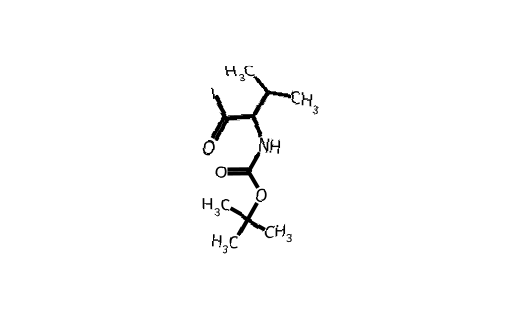 CC(C)C(NC(=O)OC(C)(C)C)C(=O)I